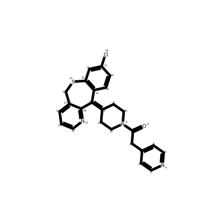 O=C(Cc1ccncc1)N1CCC(=C2c3ccc(Cl)cc3SCc3cccnc32)CC1